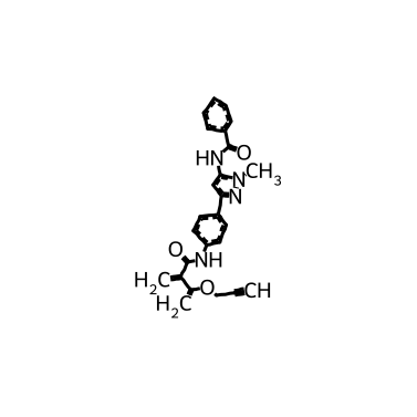 C#CCOC(=C)C(=C)C(=O)Nc1ccc(-c2cc(NC(=O)c3ccccc3)n(C)n2)cc1